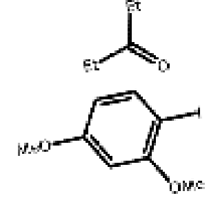 CCC(=O)CC.COc1ccc(I)c(OC)c1